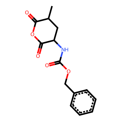 CC1CC(NC(=O)OCc2ccccc2)C(=O)OC1=O